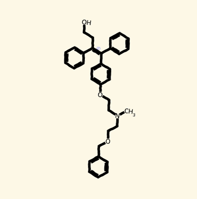 CN(CCOCc1ccccc1)CCOc1ccc(/C(=C(/CCO)c2ccccc2)c2ccccc2)cc1